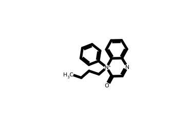 CCCC[N+]1(c2ccccc2)C(=O)C=Nc2ccccc21